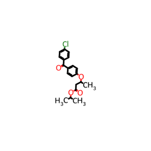 CC(C)OC(=O)CC(C)Oc1ccc(C(=O)c2ccc(Cl)cc2)cc1